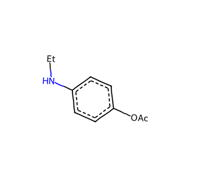 CCNc1ccc(OC(C)=O)cc1